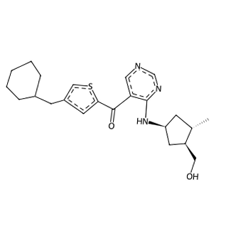 C[C@H]1C[C@H](Nc2ncncc2C(=O)c2cc(CC3CCCCC3)cs2)C[C@@H]1CO